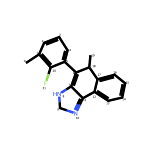 Cc1cccc(C2=C3NCN=C3c3ccccc3C2C)c1F